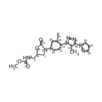 COC(=O)NCC1CN(c2ccc(-n3nnc(-n4cccn4)c3C)c(F)c2)C(=O)O1